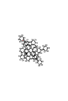 Cc1ccc2c(c1)c1ccc3c4ccccc4oc3c1n2-c1c(C#N)c(-n2c3ccccc3c3cc(-c4ccccc4)ccc32)c(-n2c3ccccc3c3cc(-c4ccccc4)ccc32)c(C#N)c1-n1c2ccccc2c2cc(-c3ccccc3)ccc21